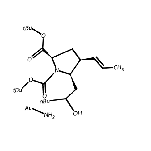 CC(N)=O.CC=C[C@@H]1C[C@H](C(=O)OC(C)(C)C)N(C(=O)OC(C)(C)C)[C@@H]1CC(O)CCCC